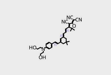 CC1(C)CC(/C=C/c2ccc(N(CCO)CCO)cc2)=CC(=C/C=C/C2=C(C#N)C(=C(C#N)C#N)OC2(C)C)/C1